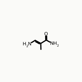 C/C(=C\N)C(N)=O